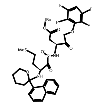 CSCC[C@H](NC1(c2cccc3ccccc23)CCCCO1)C(=O)[S+]([O-])N[C@@H](CC(=O)OC(C)(C)C)C(=O)COc1c(F)c(F)cc(F)c1F